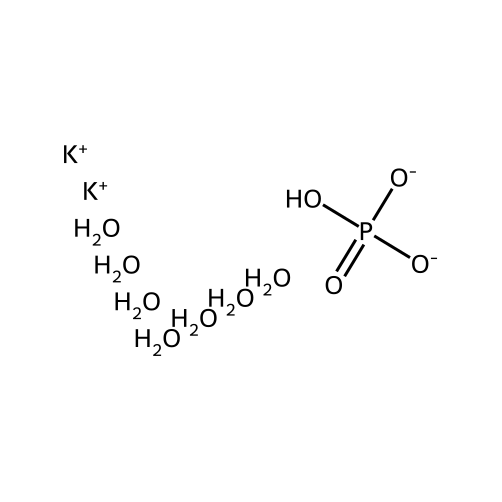 O.O.O.O.O.O.O.O=P([O-])([O-])O.[K+].[K+]